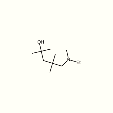 CCN(C)CC(C)(C)CC(C)(C)O